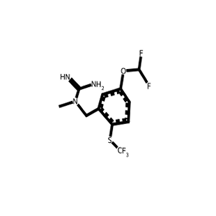 CN(Cc1cc(OC(F)F)ccc1SC(F)(F)F)C(=N)N